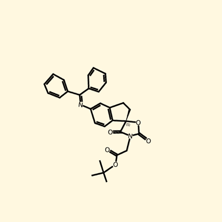 CC(C)(C)OC(=O)CN1C(=O)O[C@]2(CCc3cc(N=C(c4ccccc4)c4ccccc4)ccc32)C1=O